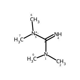 CN(C)C(=N)[N+](C)C